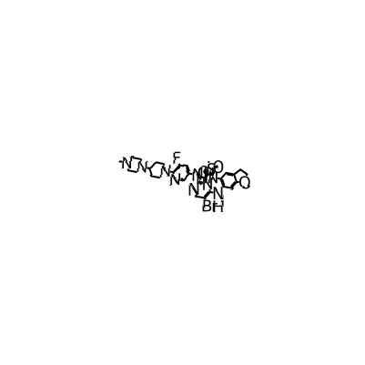 CN1CCN(C2CCN(c3ncc(Nc4ncc(Br)c(Nc5cc6c(cc5NS(C)(=O)=O)CCO6)n4)cc3F)CC2)CC1